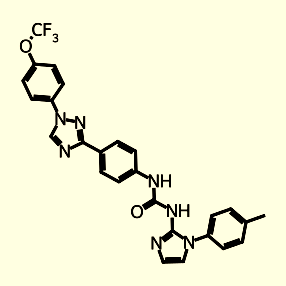 Cc1ccc(-n2ccnc2NC(=O)Nc2ccc(-c3ncn(-c4ccc(OC(F)(F)F)cc4)n3)cc2)cc1